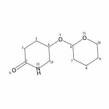 O=C1CCC(OC2CCCCO2)CN1